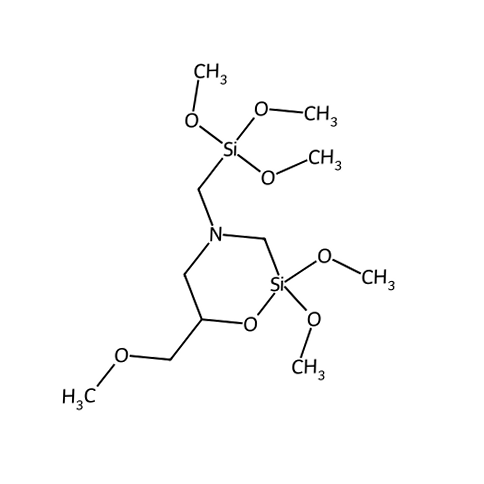 COCC1CN(C[Si](OC)(OC)OC)C[Si](OC)(OC)O1